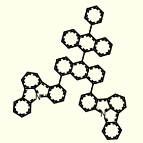 c1ccc(-c2c3ccccc3c(-c3c4cccc(-c5cccc6c5c5cccc7c8ccccc8n6c75)c4cc4c(-c5cccc6c5c5cccc7c8ccccc8n6c75)cccc34)c3ccccc23)cc1